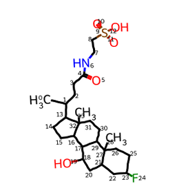 CC(CCC(=O)NCCS(=O)(=O)O)C1CCC2C3C(O)CC4CC(F)CCC4(C)C3CCC12C